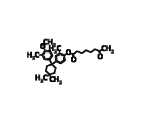 COc1ccc(C2(c3ccc(OC(=O)CCCCCC(C)=O)c(C)c3)CCC(C)(C)CC2)cc1C